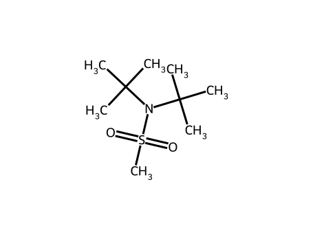 CC(C)(C)N(C(C)(C)C)S(C)(=O)=O